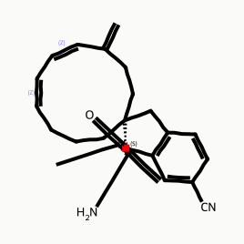 C=C1/C=C\C=C/CCCC2(CC1)Cc1ccc(C#N)cc1[C@@]21N=C(N)N(C)C1=O